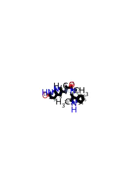 C/C(=C\c1cnc2c(c1)CCC(=O)N2)C(=O)N(C)Cc1c(C)[nH]c2ccccc12